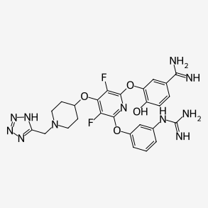 N=C(N)Nc1cccc(Oc2nc(Oc3cc(C(=N)N)ccc3O)c(F)c(OC3CCN(Cc4nnn[nH]4)CC3)c2F)c1